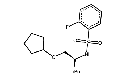 CC[C@H](C)[C@@H](COC1CCCC1)NS(=O)(=O)c1ccccc1F